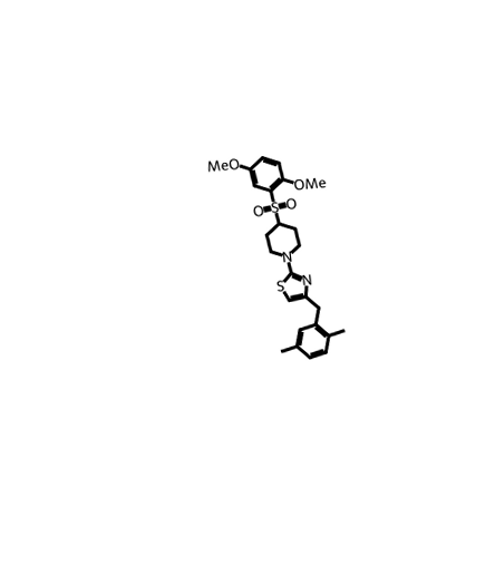 COc1ccc(OC)c(S(=O)(=O)C2CCN(c3nc(Cc4cc(C)ccc4C)cs3)CC2)c1